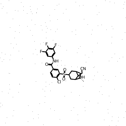 C[C@H]1CC2CC(S(=O)(=O)c3cc(C(=O)Nc4cc(F)c(F)c(F)c4)ccc3Cl)CC1[C@@]2(O)CC#N